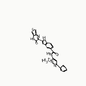 Cn1nc(-c2ccccc2)cc1NC(=O)c1ccc2[nH]c(-c3nc4cscc4[nH]c3=O)cc2c1